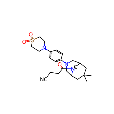 CC1(C)CC2CN(c3ccc(N4CCS(=O)(=O)CC4)cc3)CC(C1)N(C(=O)CCC#N)C2